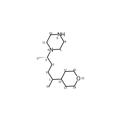 CC(CC[C@H](C)N1CCNCC1)C1CCOCC1